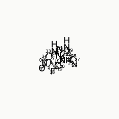 CN1C(=O)CCc2cc(Nc3nc(Nc4ccc(F)cc4)c4c(-c5ccncc5)c[nH]c4n3)ccc21